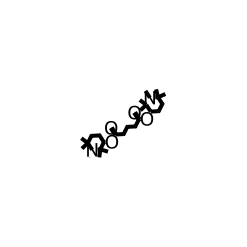 CN1C(C)(C)CCC(OC(=O)CCCC(=O)OC2CCC(C)(C)N(C)C2(C)C)C1(C)C